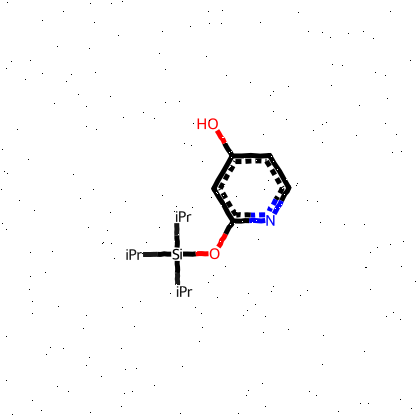 CC(C)[Si](Oc1cc(O)ccn1)(C(C)C)C(C)C